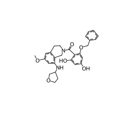 COc1cc2c(c(NC3CCOC3)c1)CN(C(=O)c1c(O)cc(O)cc1OCc1ccccc1)CC2